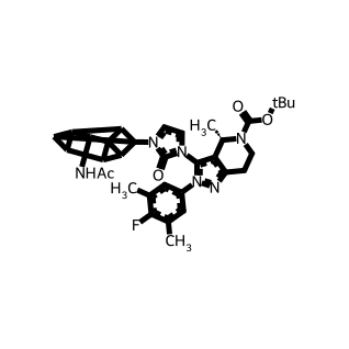 CC(=O)NC12C3C4C35C1C13C2C1C4(n1ccn(-c2c4c(nn2-c2cc(C)c(F)c(C)c2)CCN(C(=O)OC(C)(C)C)[C@H]4C)c1=O)C53